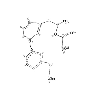 CCCCCCCCOc1cccc(N2C=C(CC(C)OC(=O)CCCC)N=CC2)c1